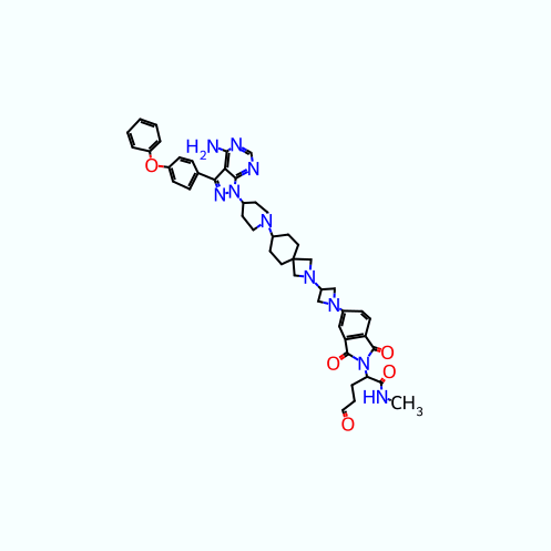 CNC(=O)C(CCC=O)N1C(=O)c2ccc(N3CC(N4CC5(CCC(N6CCC(n7nc(-c8ccc(Oc9ccccc9)cc8)c8c(N)ncnc87)CC6)CC5)C4)C3)cc2C1=O